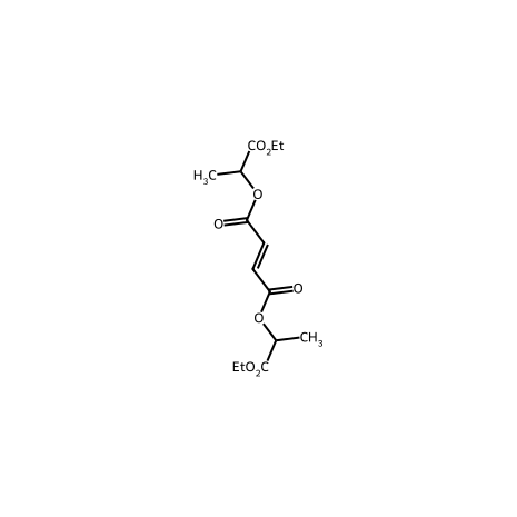 CCOC(=O)C(C)OC(=O)/C=C/C(=O)OC(C)C(=O)OCC